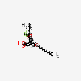 CCCCCCCCCCCCOc1ccc(-c2ccc(C(=O)O)cc2)c(-c2ccc(C(=O)OC(CCCCCC)C(F)(F)F)cc2)c1